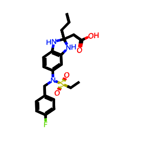 CCCC1(CC(=O)O)Nc2ccc(N(Cc3ccc(F)cc3)S(=O)(=O)CC)cc2N1